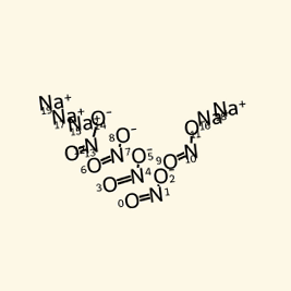 O=N[O-].O=N[O-].O=N[O-].O=N[O-].O=N[O-].[Na+].[Na+].[Na+].[Na+].[Na+]